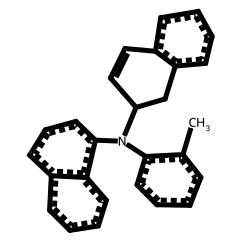 Cc1ccccc1N(c1cccc2ccccc12)C1C=Cc2ccccc2C1